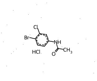 CC(=O)Nc1ccc(Br)c(Cl)c1.Cl